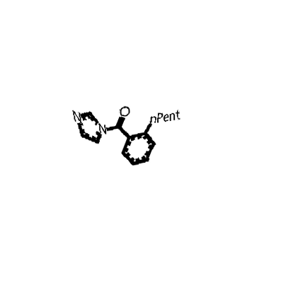 CCCCCc1ccccc1C(=O)n1ccnc1